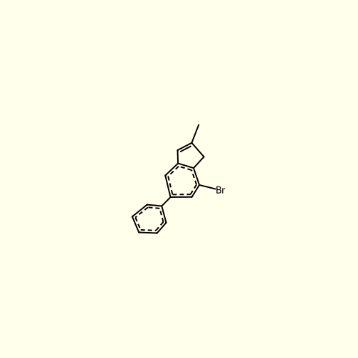 CC1=Cc2cc(-c3ccccc3)cc(Br)c2C1